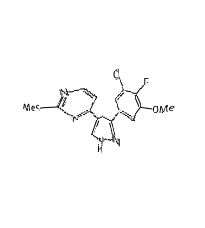 COc1cc(-c2n[nH]cc2-c2ccnc(SC)n2)cc(Cl)c1F